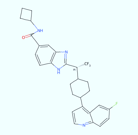 O=C(NC1CCC1)c1ccc2[nH]c([C@@H](C3CCC(c4ccnc5ccc(F)cc45)CC3)C(F)(F)F)nc2c1